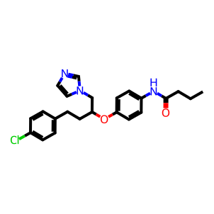 CCCC(=O)Nc1ccc(OC(CCc2ccc(Cl)cc2)Cn2ccnc2)cc1